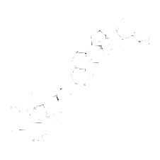 CCCCO[C@@H]1[C@@H](OCCCC)[C@H](OCCCC)[C@@H](O)[C@H](OC(=O)CO[C@H]2CC[C@@]3(C)C(CCC4C3CC[C@@]3(C)C4CC[C@@H]3C(C)CCCC(C)C)C2)[C@@H]1OC(C)=O